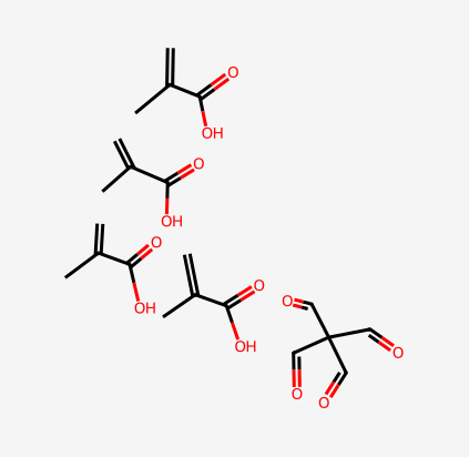 C=C(C)C(=O)O.C=C(C)C(=O)O.C=C(C)C(=O)O.C=C(C)C(=O)O.O=CC(C=O)(C=O)C=O